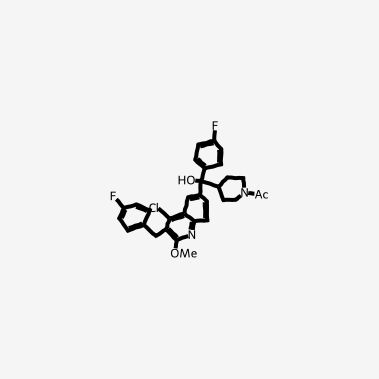 COc1nc2ccc(C(O)(c3ccc(F)cc3)C3CCN(C(C)=O)CC3)cc2c(Cl)c1Cc1ccc(F)cc1